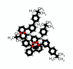 CC(C)(C)c1ccc(-c2ccc(N(c3ccc(C(C)(C)C)cc3)c3cc(N(c4ccc(C(C)(C)C)cc4)c4ccc(-c5ccc(C(C)(C)C)cc5)cc4-c4ccccc4)cc(C4(c5ccccc5)c5ccccc5-c5ccccc54)c3)c(-c3ccccc3)c2)cc1